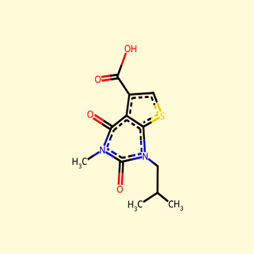 CC(C)Cn1c(=O)n(C)c(=O)c2c(C(=O)O)csc21